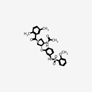 COc1ccccc1S(=O)(=O)Nc1cccc(O[C@@H]2CN(C(=O)c3cc(C)ccc3C)C[C@H]2NC(C)=O)c1